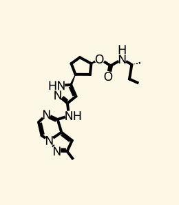 CC[C@@H](C)NC(=O)O[C@@H]1CC[C@H](c2cc(Nc3nccn4nc(C)cc34)n[nH]2)C1